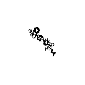 CC(C)CCNC(=O)c1ccc(N2CCN(C(=O)c3ccccc3[N+](=O)[O-])CC2)nn1